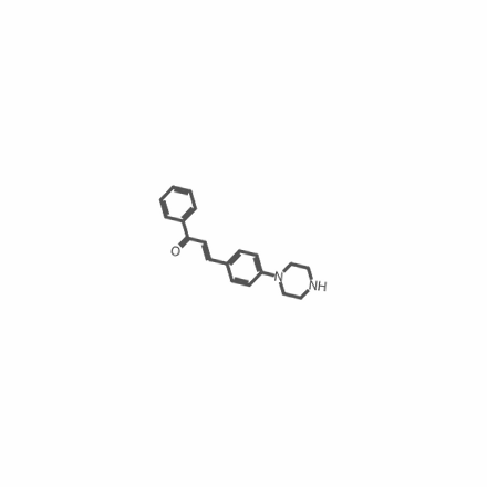 O=C(/C=C/c1ccc(N2CCNCC2)cc1)c1ccccc1